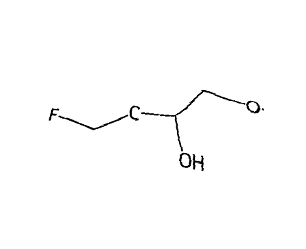 [O]CC(O)CCF